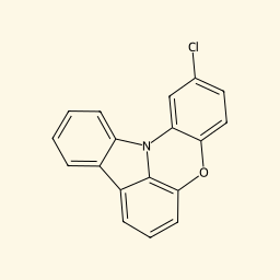 Clc1ccc2c(c1)-n1c3ccccc3c3cccc(c31)O2